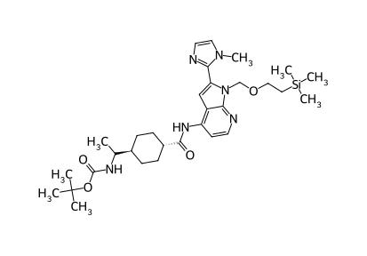 CC(NC(=O)OC(C)(C)C)[C@H]1CC[C@H](C(=O)Nc2ccnc3c2cc(-c2nccn2C)n3COCC[Si](C)(C)C)CC1